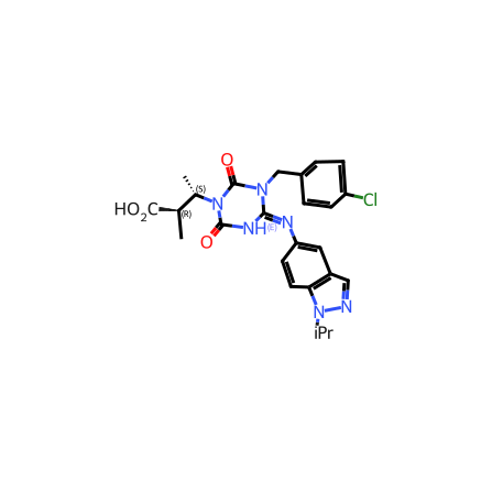 CC(C)n1ncc2cc(/N=c3\[nH]c(=O)n([C@@H](C)[C@@H](C)C(=O)O)c(=O)n3Cc3ccc(Cl)cc3)ccc21